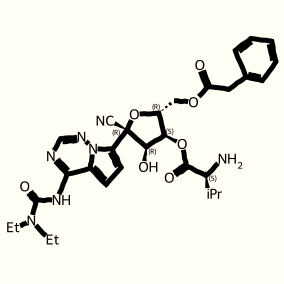 CCN(CC)C(=O)Nc1ncnn2c([C@]3(C#N)O[C@H](COC(=O)Cc4ccccc4)[C@@H](OC(=O)[C@@H](N)C(C)C)[C@H]3O)ccc12